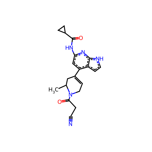 CC1CC(c2cc(NC(=O)C3CC3)nc3[nH]ccc23)=CCN1C(=O)CC#N